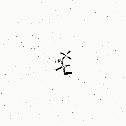 C=C[Si](C)(C)N[Si](C)(C)C